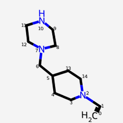 C=CN1CCC(CN2CCNCC2)CC1